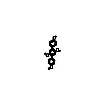 COc1ccc(-c2cc(OC)c(-c3ccc(OC)cc3)cc2OC)cc1